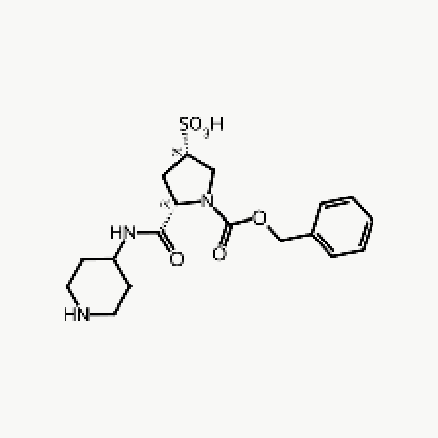 O=C(NC1CCNCC1)[C@@H]1C[C@H](S(=O)(=O)O)CN1C(=O)OCc1ccccc1